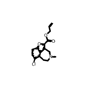 C=CCOC(=O)c1oc2ccc(Cl)c3c2c1CN(C)CC3